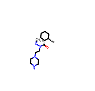 C=NN(CCN1CCNCC1)C(=O)[C@@H]1CCCCC1C(C)=O